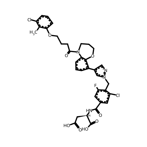 Cc1c(Cl)cccc1OCCCC(=O)N1CCCOc2c(-c3cnn(Cc4c(F)cc(C(=O)N[C@H](CC(=O)O)C(=O)O)cc4Cl)c3)cccc21